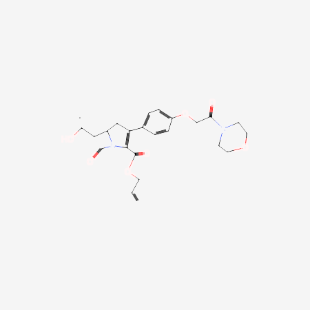 C=CCOC(=O)C1=C(c2ccc(OCC(=O)N3CCOCC3)cc2)C[C@@H]2[C@@H]([C@@H](C)O)C(=O)N12